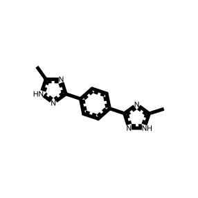 Cc1nc(-c2ccc(-c3n[nH]c(C)n3)cc2)n[nH]1